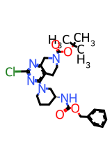 CC(C)(C)OC(=O)N1CCc2c(nc(Cl)nc2N2CCC[C@@H](NC(=O)OCc3ccccc3)C2)C1